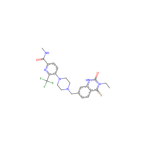 CCn1c(=O)[nH]c2cc(CN3CCN(c4ccc(C(=O)NC)nc4C(F)(F)F)CC3)ccc2c1=S